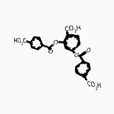 O=C(O)c1ccc(C(=O)Oc2ccc(C(=O)O)c(OC(=O)c3ccc(C(=O)O)cc3)c2)cc1